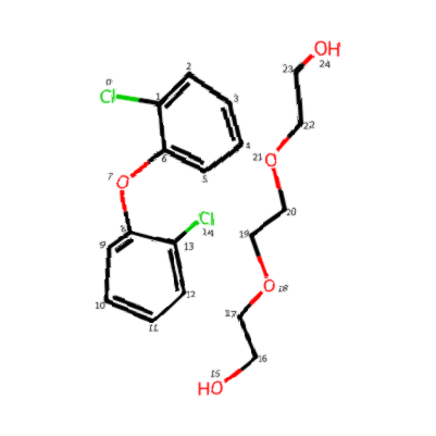 Clc1ccccc1Oc1ccccc1Cl.OCCOCCOCCO